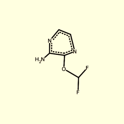 Nc1nccnc1OC(F)F